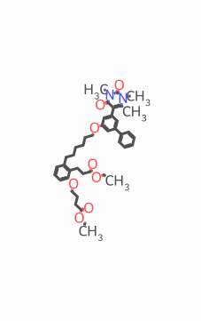 CCOC(=O)CCCOc1cccc(CCCCCCOc2cc(-c3ccccc3)cc(-c3c(C)n(C)c(=O)n(C)c3=O)c2)c1CCC(=O)OCC